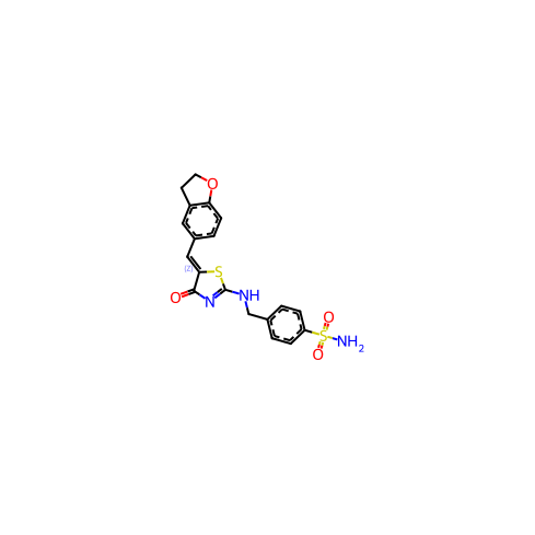 NS(=O)(=O)c1ccc(CNC2=NC(=O)/C(=C/c3ccc4c(c3)CCO4)S2)cc1